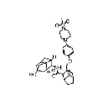 CS(=O)(=O)N1CCN(c2ccc(OCC3CC4CCC(N4)C3C(=O)NC3[C@@H]4CC5C[C@H]3CC(O)(C5)C4)cc2)CC1